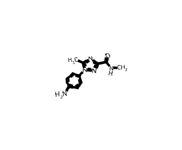 CNC(=O)c1nc(C)n(-c2ccc(N)cc2)n1